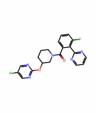 O=C(c1cccc(F)c1-c1ncccn1)N1CCCC(Oc2ncc(F)cn2)C1